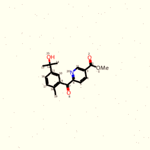 COC(=O)c1ccc(C(=O)c2cc(C(C)(C)O)ccc2C)nc1